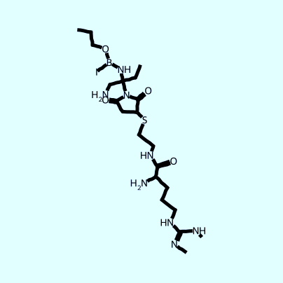 CCCOB(I)NC(CC)(CN)N1C(=O)CC(SCCNC(=O)C(N)CCCN/C(=N/C)NC)C1=O